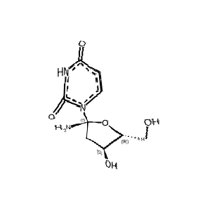 N[C@]1(n2ccc(=O)[nH]c2=O)C[C@H](O)[C@@H](CO)O1